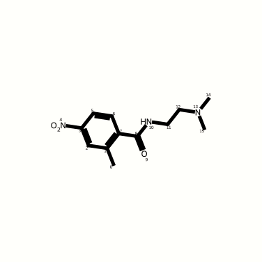 Cc1cc([N+](=O)[O-])ccc1C(=O)NCCN(C)C